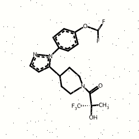 C[C@@](O)(C(=O)N1CCC(c2ccnn2-c2ccc(OC(F)F)cc2)CC1)C(F)(F)F